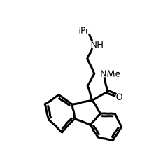 CNC(=O)C1(CCCNC(C)C)c2ccccc2-c2ccccc21